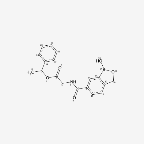 CC(OC(=O)CNC(=O)c1ccc2c(c1)B(O)OC2)c1ccccc1